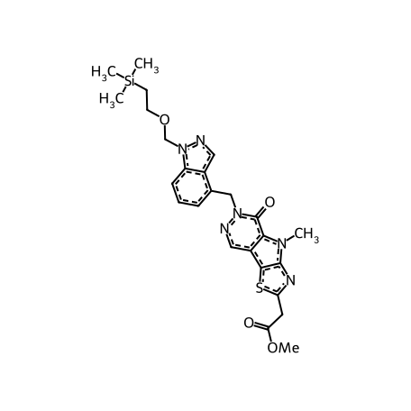 COC(=O)Cc1nc2c(s1)c1cnn(Cc3cccc4c3cnn4COCC[Si](C)(C)C)c(=O)c1n2C